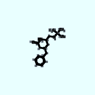 CC(C)(C)[Si](C)(C)OC[C@H]1CN(Cc2ccccc2)CC(=O)N1